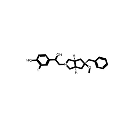 CO[C@]1(Cc2ccccc2)C[C@H]2CN(CC(O)c3ccc(O)c(F)c3)C[C@H]2C1